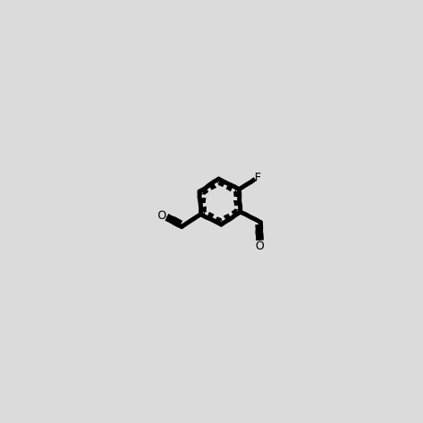 O=Cc1ccc(F)c(C=O)c1